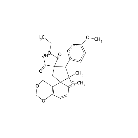 C=CC1(C)C(c2ccc(OC)cc2)C(C(=O)O)(C(=O)OCC)CC12C(=O)C=CC1=C2COCO1